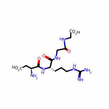 N=C(N)NCCC[C@H](NC(=O)[C@@H](N)CC(=O)O)C(=O)NCC(=O)NCC(=O)O